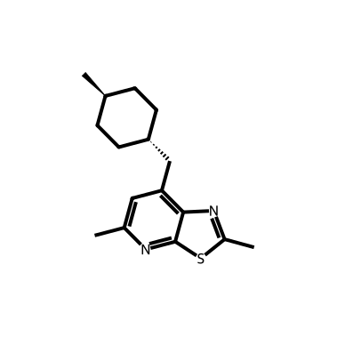 Cc1cc(C[C@H]2CC[C@H](C)CC2)c2nc(C)sc2n1